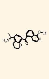 CCOc1nccc2c(C(=O)c3ccc([C@H](C)N)c4c3OCCC4)cccc12